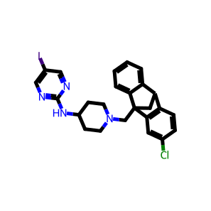 Clc1ccc2c(c1)C1(CN3CCC(Nc4ncc(I)cn4)CC3)CC2c2ccccc21